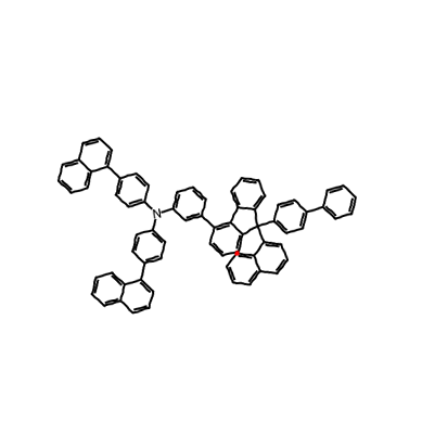 c1ccc(-c2ccc(C3(c4cccc5ccccc45)c4ccccc4-c4c(-c5cccc(N(c6ccc(-c7cccc8ccccc78)cc6)c6ccc(-c7cccc8ccccc78)cc6)c5)cccc43)cc2)cc1